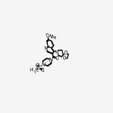 COc1ccc2c(N3CCC4(CC3)OCCO4)c(C(=O)N3CCN(S(C)(=O)=O)CC3)cnc2c1